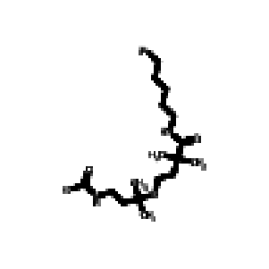 CCC(=O)NCCC(C)(C)OCCC(C)(C)C(=O)NCCCCCC(C)C